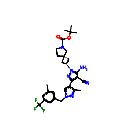 Cc1cc(Cn2cc(-c3nn([C@H]4C[C@@]5(CCN(C(=O)OC(C)(C)C)C5)C4)c(N)c3C#N)c(C)n2)cc(C(F)(F)F)c1